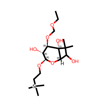 CCOCO[C@@H]1[C@@H](O)[C@H](OCC[Si](C)(C)C)O[C@@H]2C(O)C(C)(C)[C@@]21O